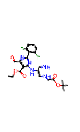 CCOC(=O)c1c(C=O)nc(-c2c(F)cccc2F)nc1N/C(C=N)=C/NCC(=O)OC(C)(C)C